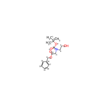 CC(C)(C)OC(=O)N(CCO)CC(=O)OCc1ccccc1